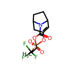 CCOC(=O)N1C2C=C(OS(=O)(=O)C(F)(F)F)CC1CC2